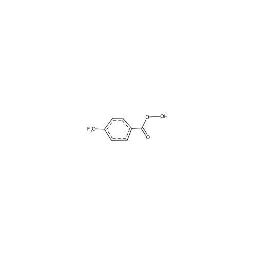 O=C(OO)c1ccc(C(F)(F)F)cc1